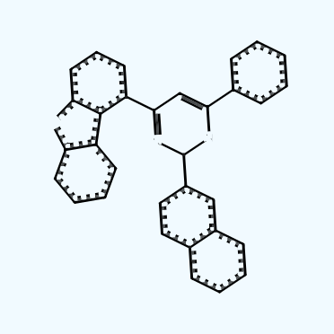 C1=C(c2ccccc2)NC(c2ccc3ccccc3c2)N=C1c1cccc2oc3ccccc3c12